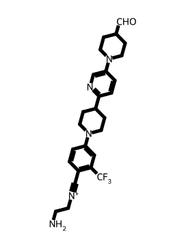 NCC[N+]#Cc1ccc(N2CCC(c3ccc(N4CCC(C=O)CC4)cn3)CC2)cc1C(F)(F)F